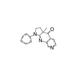 CC12CCN(c3ccccc3)C1=Nc1cnccc1C2=O